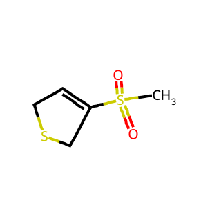 CS(=O)(=O)C1=CCSC1